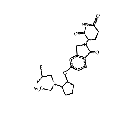 CCN(CC(F)F)C1CCCC1Oc1ccc2c(c1)CN(C1CCC(=O)NC1=O)C2=O